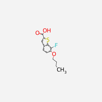 CCCCOc1ccc2cc(C(=O)O)sc2c1F